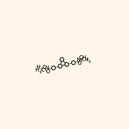 CC1(C)COC(c2ccc(-c3ccc4c5ccc(-c6ccc(C7=NC(C)(C)CO7)cc6)cc5c5ccccc5c4c3)cc2)=N1